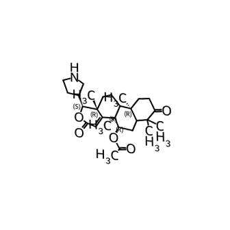 CC(=O)O[C@@H]1CC2C(C)(C)C(=O)CC[C@]2(C)C2CC[C@]3(C)C(=CC(=O)O[C@H]3C3CCNC3)[C@@]21C